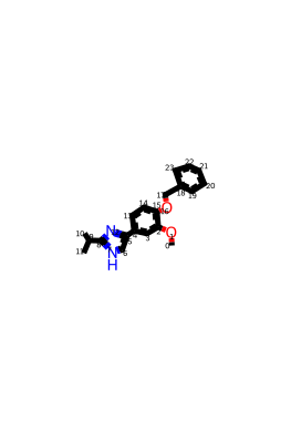 COc1cc(-c2c[nH]c(C(C)C)n2)ccc1OCc1ccccc1